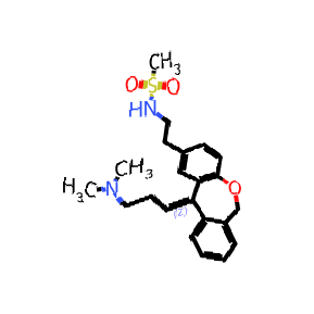 CN(C)CC/C=C1/c2ccccc2COc2ccc(CCNS(C)(=O)=O)cc21